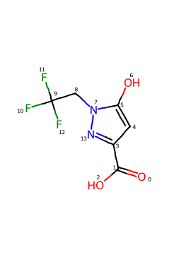 O=C(O)c1cc(O)n(CC(F)(F)F)n1